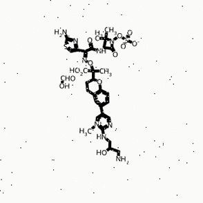 C[n+]1cc(-c2ccc3c(c2)CCC(C(C)(O/N=C(\C(=O)NC2C(=O)N(OS(=O)(=O)[O-])C2(C)C)c2csc(N)n2)C(=O)O)O3)cnc1NCC(O)CN.O=CO